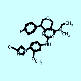 CCN(C)c1nc(Nc2ccc(-n3cnc(Cl)c3)c(OC)c2)nc2c1COCC2c1ccc(F)cc1